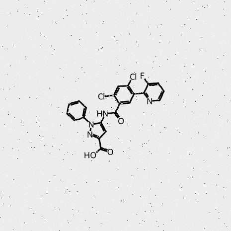 O=C(O)c1cc(NC(=O)c2cc(-c3ncccc3F)c(Cl)cc2Cl)n(-c2ccccc2)n1